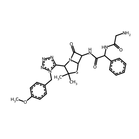 COc1ccc(Cn2nnnc2C2N3C(=O)C(NC(=O)C(NC(=O)CN)c4ccccc4)C3SC2(C)C)cc1